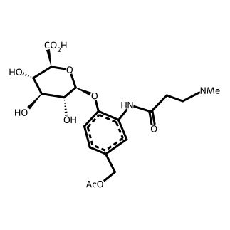 CNCCC(=O)Nc1cc(COC(C)=O)ccc1O[C@@H]1O[C@H](C(=O)O)[C@@H](O)[C@H](O)[C@H]1O